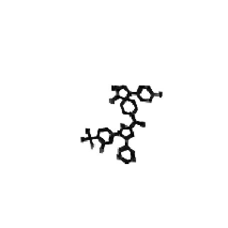 O=C(c1cc(-c2cncnc2)n(-c2ccc(C(F)(F)F)c(F)c2)n1)N1CCC2(CC1)C(=O)NCN2c1ccc(F)cc1